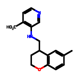 Cc1ccc2c(c1)C(CNc1cnccc1C(=O)O)CCO2